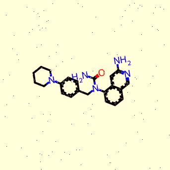 NC(=O)N(Cc1ccc(N2CCCCC2)cc1)c1cccc2cnc(N)cc12